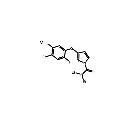 CCN(CC)C(=O)n1ccc(Sc2cc(OC)c(Cl)cc2F)n1